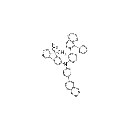 CC1(C)c2ccccc2-c2ccc(N(c3ccc(-c4ccc5ccccc5c4)cc3)c3cccc(-c4ccc5ccccc5c4-c4ccccc4)c3)cc21